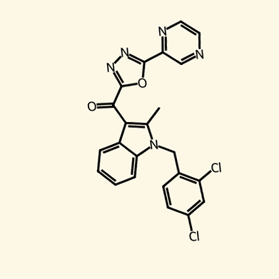 Cc1c(C(=O)c2nnc(-c3cnccn3)o2)c2ccccc2n1Cc1ccc(Cl)cc1Cl